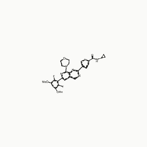 COc1cc(OC)c(F)c(-c2cc3cnc(-c4ccc(C(=O)NC5CC5)nc4)nc3c(N3CCOCC3)n2)c1F